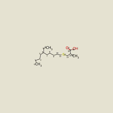 CCCCC(CC)CCCCCSCC(C)C(=O)O